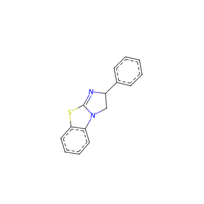 c1ccc(C2CN3C(=N2)Sc2ccccc23)cc1